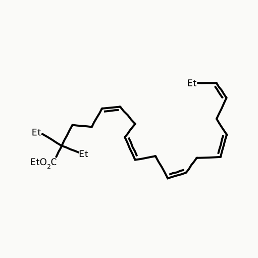 CC/C=C\C/C=C\C/C=C\C/C=C\C/C=C\CCC(CC)(CC)C(=O)OCC